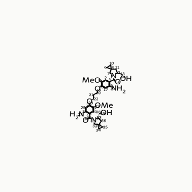 COc1cc(C(=O)N2CC3(CC3)CC2CO)c(N)cc1OCCCOc1cc(N)c(C(=O)N2CC3(CC3)C[C@H]2CO)cc1OC